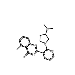 Cc1cccc2nc(-c3cccnc3N3CC[C@@H](N(C)C)C3)oc(=O)c12